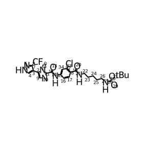 Cn1c(-c2c[nH]nc2C(F)(F)F)cnc1C(=O)Nc1ccc(C(=O)NCCCCCNC(=O)OC(C)(C)C)c(Cl)c1